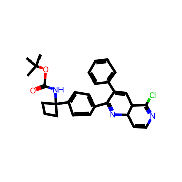 CC(C)(C)OC(=O)NC1(c2ccc(C3=NC4C=CN=C(Cl)C4C=C3c3ccccc3)cc2)CCC1